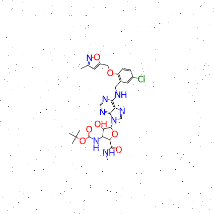 CNC(=O)C1OC(n2cnc3c(NCc4cc(Cl)ccc4OCc4cc(C)no4)ncnc32)C(O)C1NC(=O)OC(C)(C)C